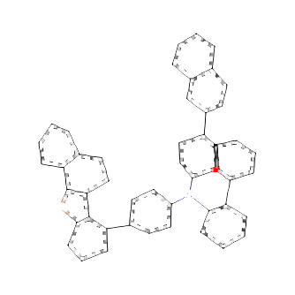 c1ccc(-c2ccccc2N(c2ccc(-c3ccc4ccccc4c3)cc2)c2ccc(-c3cccc4sc5c6ccccc6ccc5c34)cc2)cc1